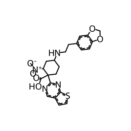 O=C(O)C1(c2ncc3ccsc3n2)CCC(NCCc2ccc3c(c2)OCO3)CC1[N+](=O)[O-]